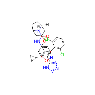 O=C(Nc1ccc(-c2nnn[nH]2)cc1)N1C2CC[C@H]1CC(OCc1c(-c3c(Cl)cccc3Cl)noc1C1CC1)C2